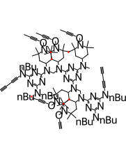 C#CC#CN(CCCC)c1nc(N(CCCC)CCCC)nc(N(CN(c2nc(N(C)C3CC(C)(C)N(OC#CC)C(C)(C)C3)nc(N(CN(c3nc(N(C#CC#C)CCCC)nc(N(CCCC)CCCC)n3)C3CC(C)(C)N(OC#CC)C(C)(C)C3)C3CC(C)(C)N(OC#CC)C(C)(C)C3)n2)C2CC(C)(C)N(OC#CC)C(C)(C)C2)C2CC(C)(C)N(OC#C)C(C)(C)C2)n1